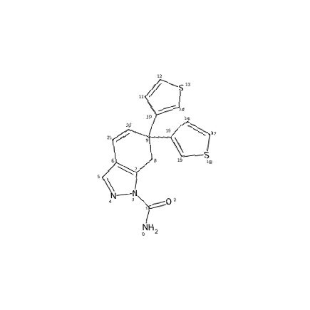 NC(=O)n1n[c]c2c1CC(c1ccsc1)(c1ccsc1)C=C2